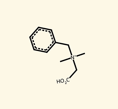 C[N+](C)(CC(=O)O)Cc1ccccc1